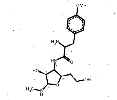 CB[C@@H]1O[C@H](CCO)C(NC(=O)C(N)Cc2ccc(OC)cc2)[C@@H]1O